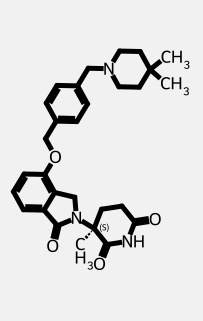 CC1(C)CCN(Cc2ccc(COc3cccc4c3CN([C@@]3(C)CCC(=O)NC3=O)C4=O)cc2)CC1